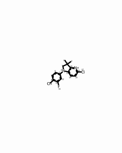 CC1(C)CN(c2ccc(Cl)c(F)c2)c2ccc(Cl)nc21